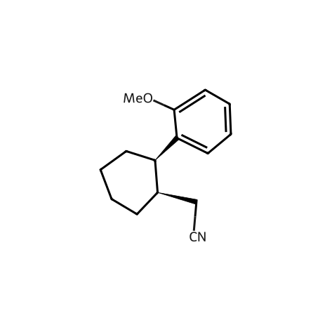 COc1ccccc1[C@@H]1CCCC[C@@H]1CC#N